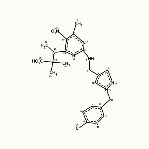 Cc1nc(NCc2cnn(Cc3ccc(Cl)nc3)c2)nc(N(C)C(C)(C)C(=O)O)c1[N+](=O)[O-]